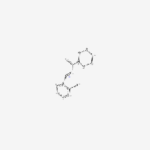 O=C(/C=C/c1ccccc1I)N1CCCCC1